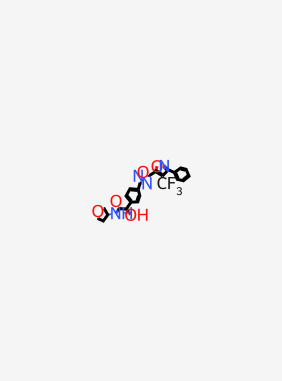 O=C(N[C@H]1CCOC1)C(O)c1ccc(-c2noc(-c3onc(-c4ccccc4)c3C(F)(F)F)n2)cc1